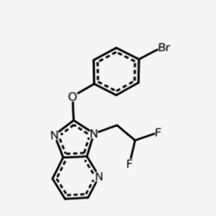 FC(F)Cn1c(Oc2ccc(Br)cc2)nc2cccnc21